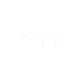 CC[S+]([O-])C/C(C)=C/SN